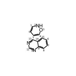 C1=CNOC=C1.c1ccc2ncncc2c1